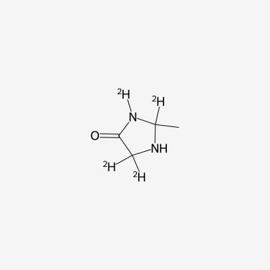 [2H]N1C(=O)C([2H])([2H])NC1([2H])C